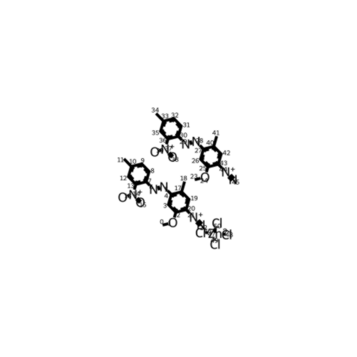 COc1cc(N=Nc2ccc(C)cc2[N+](=O)[O-])c(C)cc1[N+]#N.COc1cc(N=Nc2ccc(C)cc2[N+](=O)[O-])c(C)cc1[N+]#N.[Cl][Zn-2]([Cl])([Cl])[Cl]